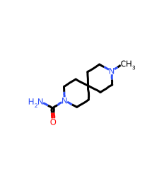 CN1CCC2(CC1)CCN(C(N)=O)CC2